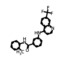 Cc1ccccc1NC(=O)c1cccc(Nc2ccnc3cc(C(F)(F)F)ccc23)c1